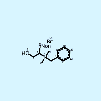 CCCCCCCCCC(CO)[N+](C)(C)Cc1ccccc1.[Br-]